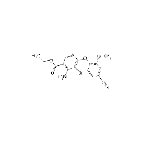 CCOC(=O)c1cnc(Oc2ccc(C#N)cc2OC)c(Br)c1N